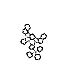 c1ccc([Si](c2ccccc2)(c2ccccc2)c2ccc3c(c2)B2c4ccc5ccccc5c4-c4cc5c6c(c42)N3c2ccccc2B6c2ccc3ccccc3c2-5)cc1